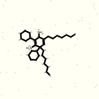 CCCCCCCC1=CC(CCCCCCC)(C2CCCCC2)C(N)=C(C2CCCCC2)C1N